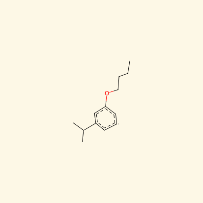 CCCCOc1c[c]cc(C(C)C)c1